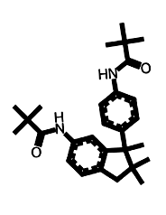 CC(C)(C)C(=O)Nc1ccc(C2(C)c3cc(NC(=O)C(C)(C)C)ccc3CC2(C)C)cc1